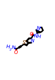 NC(=O)C#Cc1cc2cnc(C(=O)NC3CN4CCC3C4)cc2s1